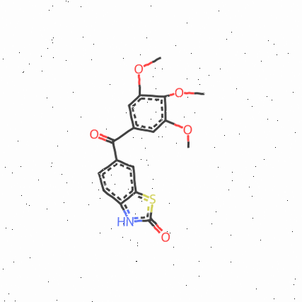 COc1cc(C(=O)c2ccc3[nH]c(=O)sc3c2)cc(OC)c1OC